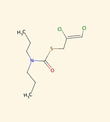 CCCN(CCC)C(=O)SCC(Cl)=CCl